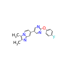 Cc1nc2cc(-c3cnc(Oc4ccc(F)cc4)nc3)ccn2c1C